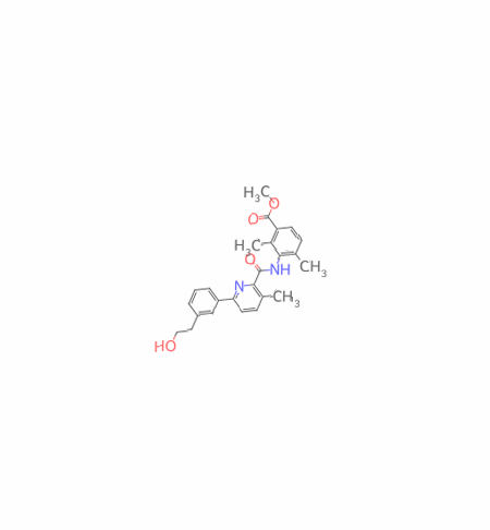 COC(=O)c1ccc(C)c(NC(=O)c2nc(-c3cccc(CCO)c3)ccc2C)c1C